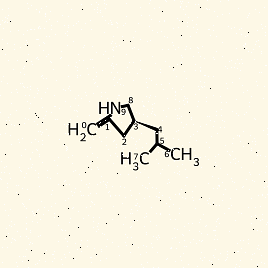 C=C1C[C@H](CC(C)C)CN1